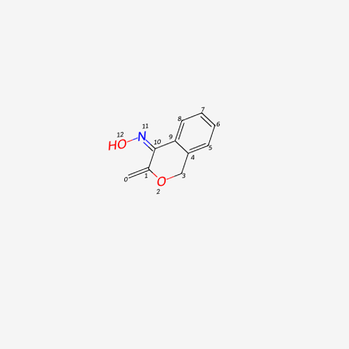 C=C1OCc2ccccc2C1=NO